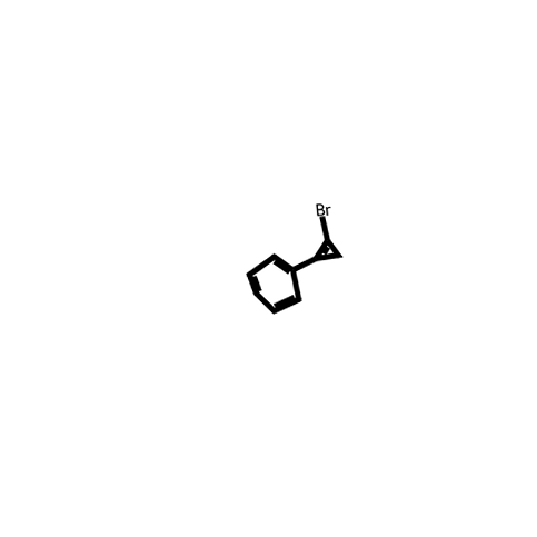 BrC1=C(c2ccccc2)C1